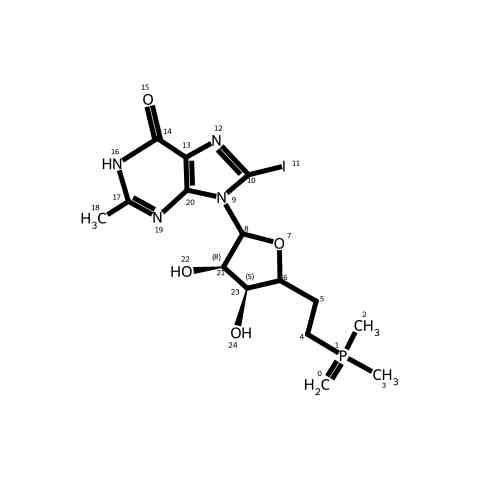 C=P(C)(C)CCC1OC(n2c(I)nc3c(=O)[nH]c(C)nc32)[C@H](O)[C@@H]1O